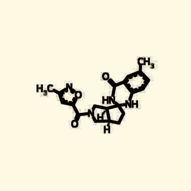 Cc1ccc2c(c1)C(=O)NC1(CC[C@H]3CN(C(=O)c4cc(C)no4)C[C@H]31)N2